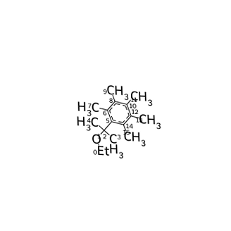 CCOC(C)(C)c1c(C)c(C)c(C)c(C)c1C